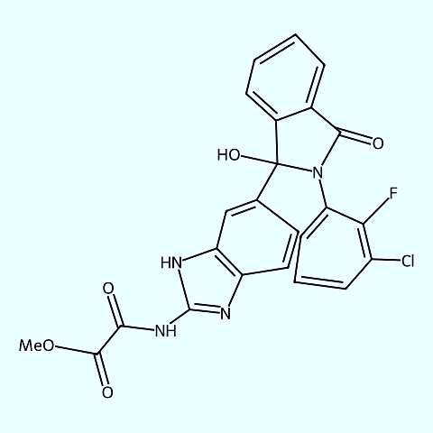 COC(=O)C(=O)Nc1nc2ccc(C3(O)c4ccccc4C(=O)N3c3cccc(Cl)c3F)cc2[nH]1